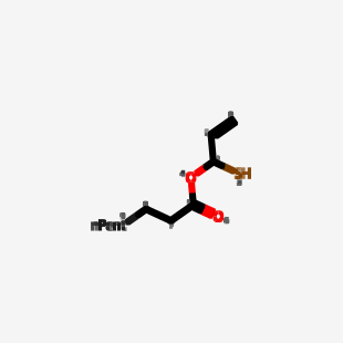 C=CC(S)OC(=O)CCCCCCC